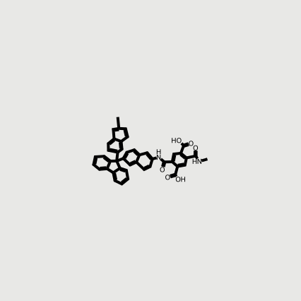 CNC(=O)c1cc(C(=O)O)c(C(=O)Nc2ccc3cc(C4(c5ccc6cc(C)ccc6c5)c5ccccc5-c5ccccc54)ccc3c2)cc1C(=O)O